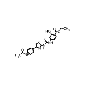 CCOC(=O)c1ccc(NC(=S)Nc2nc(-c3ccc(NC(C)=O)cc3)cs2)cc1O